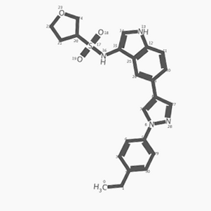 CCc1ccc(-n2cc(-c3ccc4[nH]cc(NS(=O)(=O)C5CCOC5)c4c3)cn2)cc1